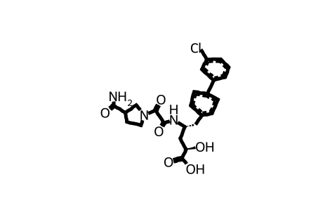 NC(=O)C1CCN(C(=O)C(=O)N[C@H](Cc2ccc(-c3cccc(Cl)c3)cc2)C[C@@H](O)C(=O)O)C1